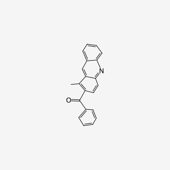 Cc1c(C(=O)c2ccccc2)ccc2nc3ccccc3cc12